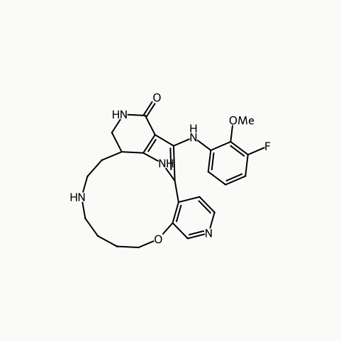 COc1c(F)cccc1Nc1c2[nH]c3c1C(=O)NCC3CCNCCCCOc1cnccc1-2